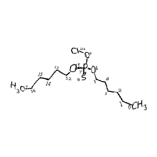 CCCCCCOP(=S)(OCl)OCCCCCC